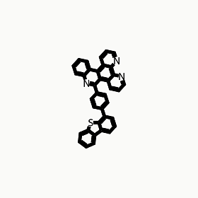 c1ccc2c(c1)nc(-c1ccc(-c3cccc4c3sc3ccccc34)cc1)c1c3cccnc3c3ncccc3c21